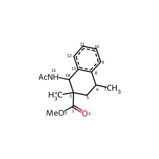 COC(=O)C1(C)CC(C)c2ccccc2C1NC(C)=O